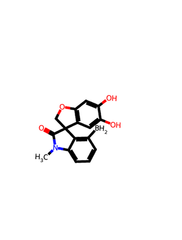 Bc1cccc2c1C1(COc3cc(O)c(O)cc31)C(=O)N2C